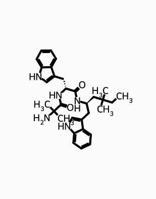 CCC(C)(C)C[C@@H](Cc1c[nH]c2ccccc12)NC(=O)[C@@H](Cc1c[nH]c2ccccc12)NC(=O)C(C)(C)N